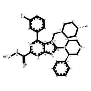 CCc1cccc(-c2nc(C(=N)NC(=O)O)nc3nc(N4CCOC[C@H]4c4ccccc4)n(C[C@H]4CC[C@H](C)CC4)c23)c1